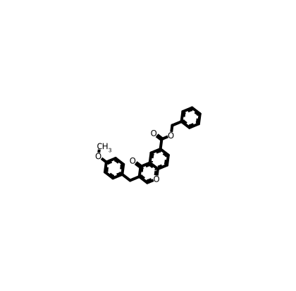 COc1ccc(Cc2coc3ccc(C(=O)OCc4ccccc4)cc3c2=O)cc1